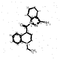 CCN1CCC(C(=O)n2nc(N)c3c2CCCC3)c2ccccc21